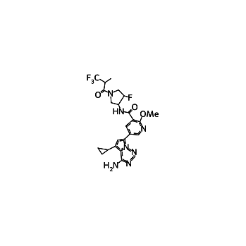 COc1ncc(-c2cc(C3CC3)c3c(N)ncnn23)cc1C(=O)NC1CN(C(=O)C(C)C(F)(F)F)CC1F